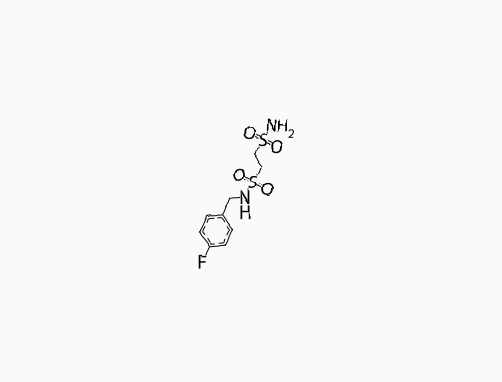 NS(=O)(=O)CCS(=O)(=O)NCc1ccc(F)cc1